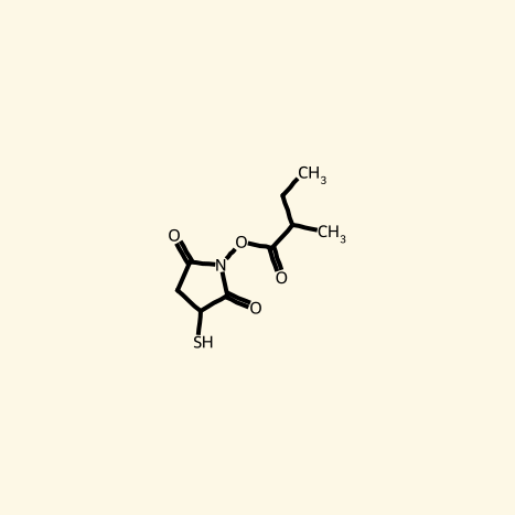 CCC(C)C(=O)ON1C(=O)CC(S)C1=O